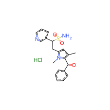 Cc1cc(CC(c2cccnc2)S(N)(=O)=O)n(C)c1C(=O)c1ccccc1.Cl